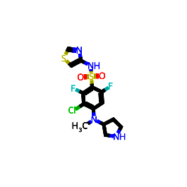 CN(c1cc(F)c(S(=O)(=O)Nc2cscn2)c(F)c1Cl)C1CCNC1